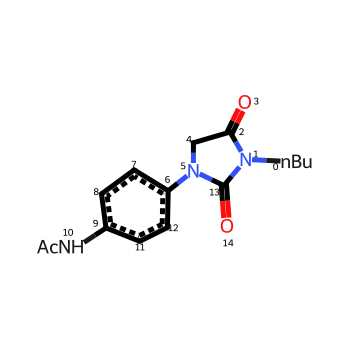 CCCCN1C(=O)CN(c2ccc(NC(C)=O)cc2)C1=O